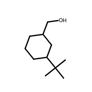 CC(C)(C)C1CCCC(CO)C1